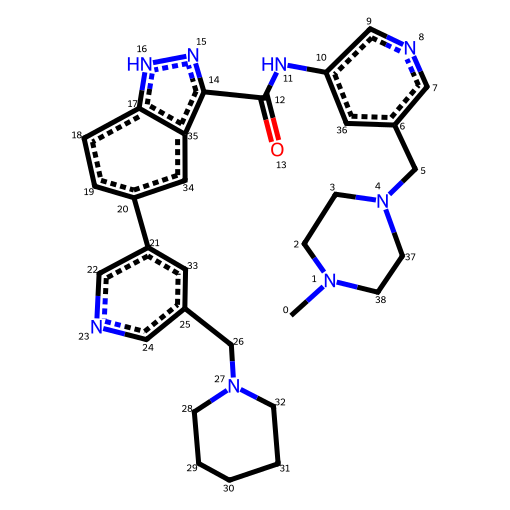 CN1CCN(Cc2cncc(NC(=O)c3n[nH]c4ccc(-c5cncc(CN6CCCCC6)c5)cc34)c2)CC1